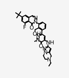 CCN1CCn2nc(Nc3cc(-c4cccc(-n5ncc6cc(C(C)(C)C)cc(F)c6c5=O)c4CO)nn(C)c3=O)cc2C1